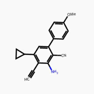 C#Cc1c(C2CC2)cc(-c2ccc(OC)cc2)c(C#N)c1N